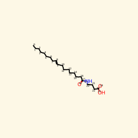 CCCCCCCC/C=C/CCCCCCCC(=O)NCCCC(=O)O